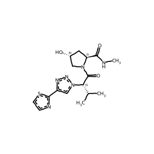 CNC(=O)[C@@H]1C[C@@H](O)CN1C(=O)[C@H](C(C)C)n1cc(-c2nccs2)nn1